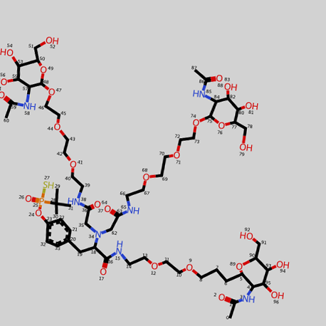 CC(=O)NC1C(CCCOCCOCCNC(=O)C(Cc2ccc(OP(=O)(S)C(C)(C)C)cc2)N(CC(=O)NCCOCCOCCOC2OC(CO)C(O)C(O)C2NC(C)=O)CC(=O)NCCOCCOCCOC2OC(CO)C(O)C(O)C2NC(C)=O)OC(CO)C(O)C1O